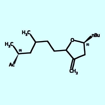 C=C1C[C@H](CCCC)OC1CCC(C)C[C@@H](C)C(C)=O